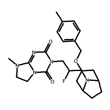 Cc1ccc(COC2CC3CCC(C2)N3CC(F)Cn2c(=O)nc3n(c2=O)CCN3C)cc1